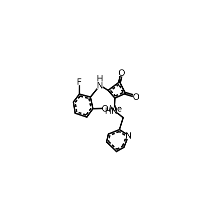 COc1cccc(F)c1Nc1c(NCc2ccccn2)c(=O)c1=O